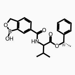 CC(C)C(NC(=O)c1ccc2c(c1)B(O)OC2)C(=O)O[C@@H](C)c1ccccc1